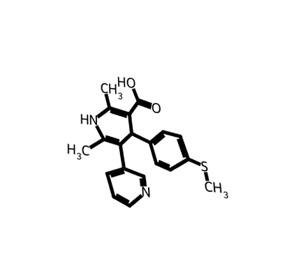 CSc1ccc(C2C(C(=O)O)=C(C)NC(C)=C2c2cccnc2)cc1